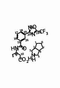 C1CC2CNCC2C1.C[C@H](CC(=O)O)NC(=O)c1cccc(-c2noc(C(F)(F)F)n2)c1